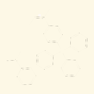 C/C=C(/C)c1ccc([B-](c2ccccc2)(c2ccccc2)c2ccccc2)cc1.C[NH+](C)c1ccccc1